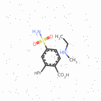 CCCc1cc(S(N)(=O)=O)ccc1C(=O)O.CCNC